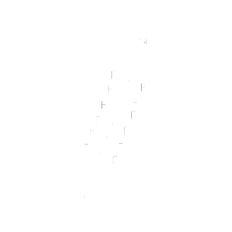 C[Si](C)(C)C#CC(F)(F)C(F)(F)C(F)(F)C(F)(F)C(F)(F)C(F)(F)C#C[Si](C)(C)C